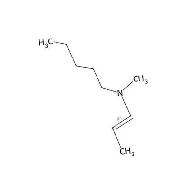 C/C=C/N(C)CCCCC